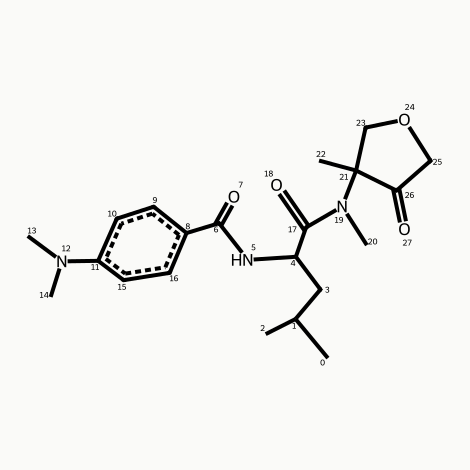 CC(C)CC(NC(=O)c1ccc(N(C)C)cc1)C(=O)N(C)C1(C)COCC1=O